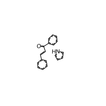 O=C(C=Cc1ccccc1)c1ccccc1.c1cc[nH]c1